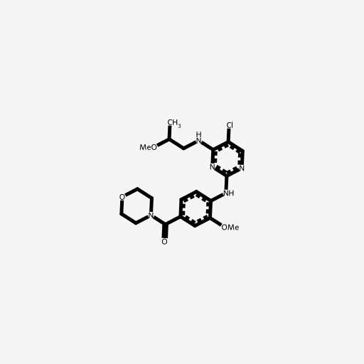 COc1cc(C(=O)N2CCOCC2)ccc1Nc1ncc(Cl)c(NCC(C)OC)n1